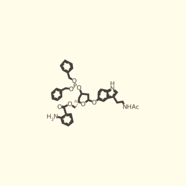 CC(=O)NCCc1c[nH]c2ccc(OC3CC(OP(OCc4ccccc4)OCc4ccccc4)C[C@@H](COC(=O)c4ccccc4N)O3)cc12